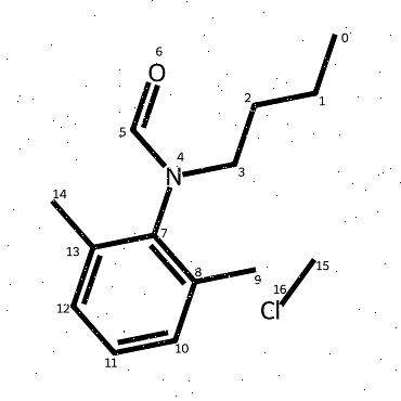 CCCCN(C=O)c1c(C)cccc1C.CCl